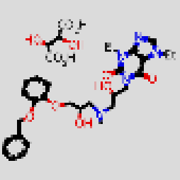 CCn1cnc2c1c(=O)n(CC(O)CN(C)CC(O)COc1ccccc1OCc1ccccc1)c(=O)n2CC.O=C(O)C(O)C(O)C(=O)O